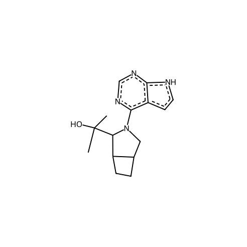 CC(C)(O)C1C2CCC2CN1c1ncnc2[nH]ccc12